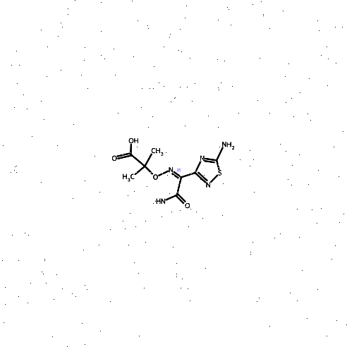 CC(C)(O/N=C(\C([NH])=O)c1nsc(N)n1)C(=O)O